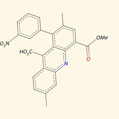 COC(=O)c1cc(C)c(-c2cccc([N+](=O)[O-])c2)c2c(C(=O)O)c3ccc(C)cc3nc12